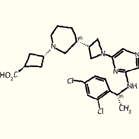 C[C@@H](Nc1cncc(N2CC([C@H]3CCCN([C@H]4C[C@H](C(=O)O)C4)C3)C2)n1)c1ccc(Cl)cc1Cl